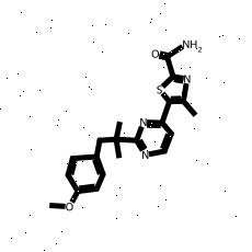 COc1ccc(CC(C)(C)c2nccc(-c3sc(C(N)=O)nc3C)n2)cc1